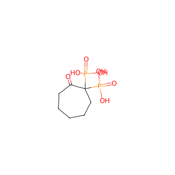 O=C1CCCCCC1(P(=O)(O)O)P(=O)(O)O